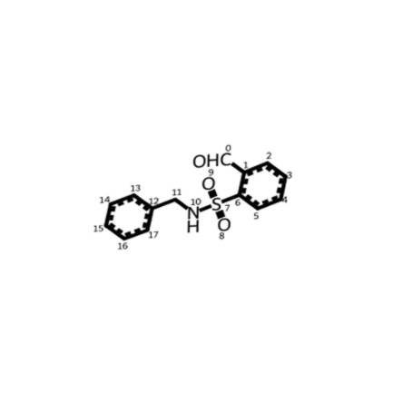 O=Cc1ccccc1S(=O)(=O)NCc1ccccc1